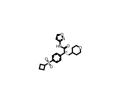 O=C(Nc1ccon1)[C@H](CC1CCOCC1)c1ccc(S(=O)(=O)C2CCC2)cc1